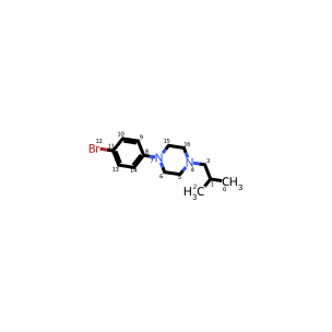 CC(C)CN1CCN(c2ccc(Br)cc2)CC1